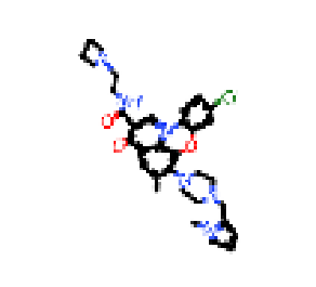 Cc1cc2c(=O)c(C(=O)NCCN3CCCC3)cn3c2c(c1N1CCN(Cc2cccn2C)CC1)Oc1cc(Cl)ccc1-3